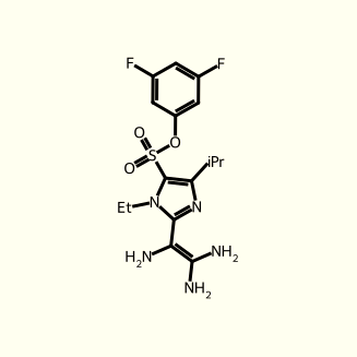 CCn1c(C(N)=C(N)N)nc(C(C)C)c1S(=O)(=O)Oc1cc(F)cc(F)c1